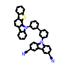 N#Cc1ccc2c(c1)c1cc(C#N)ccc1n2-c1cccc(-c2cccc(-n3c4ccccc4c4ccc5c6ccccc6sc5c43)c2)c1